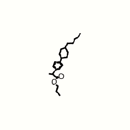 CCCCCC1CCC(c2ccc(C(C)C(=O)OCCC)cc2)CC1